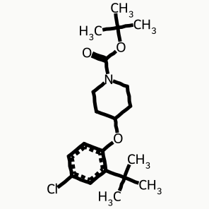 CC(C)(C)OC(=O)N1CCC(Oc2ccc(Cl)cc2C(C)(C)C)CC1